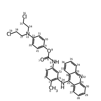 Cc1ccc(NC(=O)Oc2ccc(N(CCCl)CCCl)cc2)cc1Nc1c2ccccc2nc2ccccc12